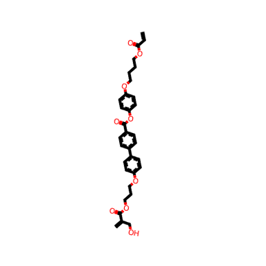 C=CC(=O)OCCCCOc1ccc(OC(=O)c2ccc(-c3ccc(OCCCOC(=O)C(=C)CO)cc3)cc2)cc1